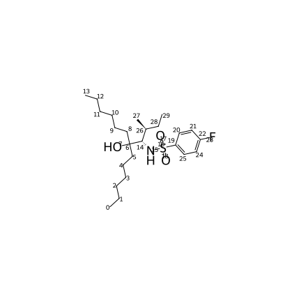 CCCCCCC(O)(CCCCCC)[C@@H](NS(=O)(=O)c1ccc(F)cc1)[C@@H](C)CC